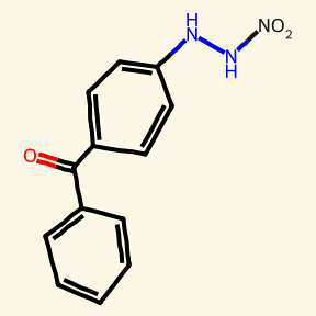 O=C(c1ccccc1)c1ccc(NN[N+](=O)[O-])cc1